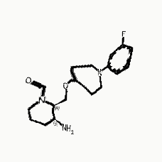 N[C@H]1CCCN(C=O)[C@H]1COC1CCN(c2cccc(F)c2)CC1